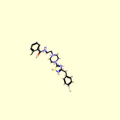 Cc1ccccc1C(=O)NCCN1CCN(c2nc(Cc3ccc(F)cc3)ns2)CC1